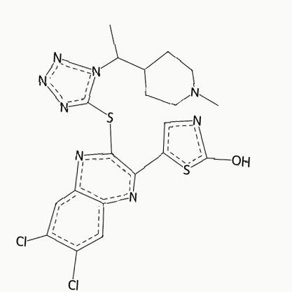 CC(C1CCN(C)CC1)n1nnnc1Sc1nc2cc(Cl)c(Cl)cc2nc1-c1cnc(O)s1